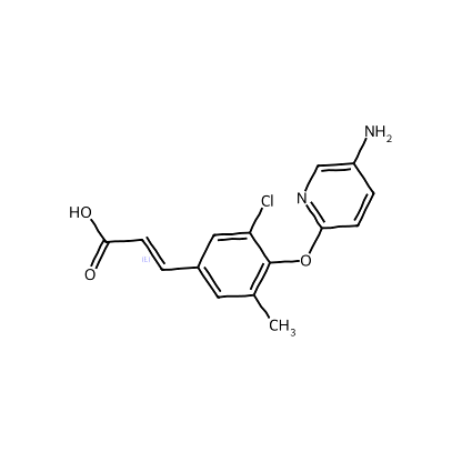 Cc1cc(/C=C/C(=O)O)cc(Cl)c1Oc1ccc(N)cn1